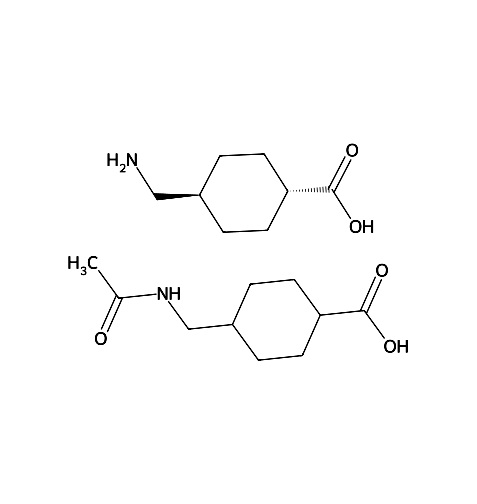 CC(=O)NCC1CCC(C(=O)O)CC1.NC[C@H]1CC[C@H](C(=O)O)CC1